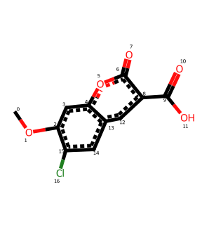 COc1cc2oc(=O)c(C(=O)O)cc2cc1Cl